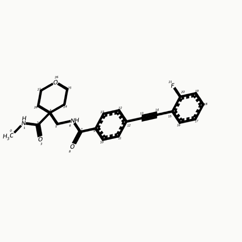 CNC(=O)C1(CNC(=O)c2ccc(C#Cc3ccccc3F)cc2)CCOCC1